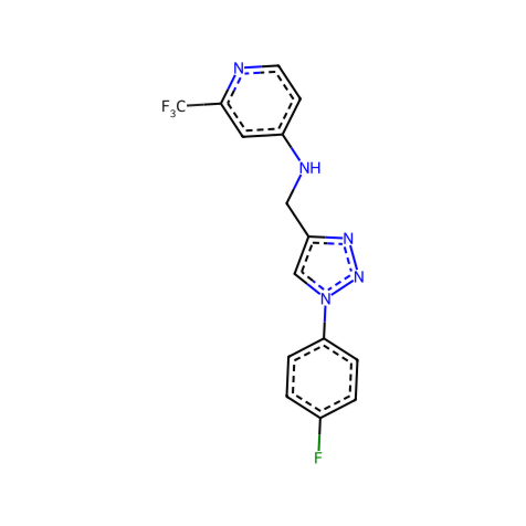 Fc1ccc(-n2cc(CNc3ccnc(C(F)(F)F)c3)nn2)cc1